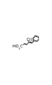 CC(/C=C/C(=O)O)=C\c1ccccc1